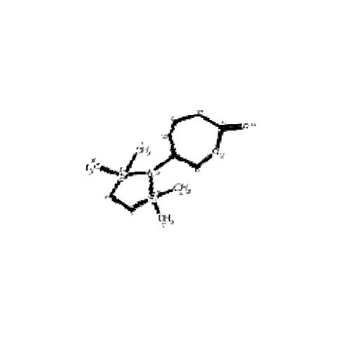 C[Si]1(C)CC[Si](C)(C)N1C1CCCC(=O)OC1